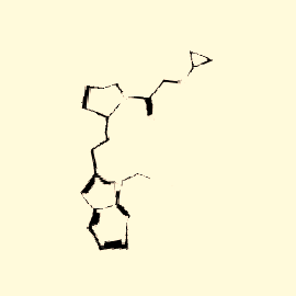 CCn1c(CCC2CCCN2C(=O)CNC2CC2)cc2ccccc21